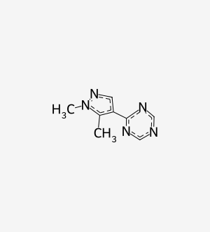 Cc1c(-c2ncncn2)cnn1C